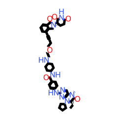 CC[C@@H]1C(=O)N(C)c2cnc(Nc3ccc(C(=O)N[C@H]4CC[C@H](NCCOCCC#Cc5cccc6c5CN([C@H]5CCC(=O)NC5=O)C6=O)CC4)cc3)nc2N1C1CCCC1